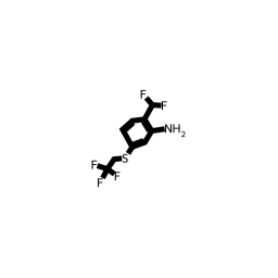 Nc1cc(SCC(F)(F)F)ccc1C(F)F